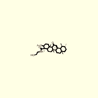 CC(=O)OC1CC[C@@]2(C)C(CC[C@]3(C)C2C(=O)C=C2C4[C@@H](C)[C@H](C)CC[C@]4(C)CC[C@]23C)[C@@]1(C)C(=O)NCCO